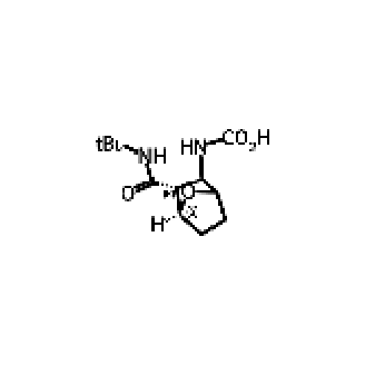 CC(C)(C)NC(=O)[C@@H]1C(NC(=O)O)C2CC[C@@H]1O2